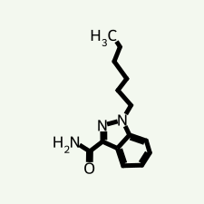 CCCCCCn1nc(C(N)=O)c2ccccc21